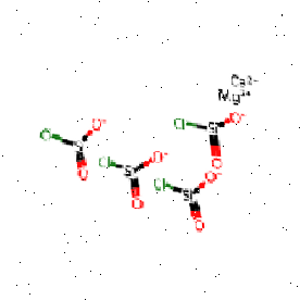 O=[Si]([O-])Cl.O=[Si]([O-])Cl.O=[Si]([O-])Cl.O=[Si]([O-])Cl.[Ca+2].[Mg+2]